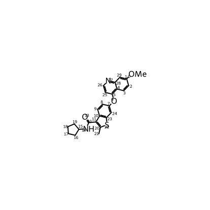 COc1ccc2c(Oc3ccc4c(C(=O)NC5CCCC5)c(C)sc4c3)ccnc2c1